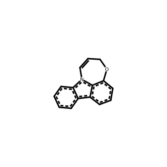 C1=Cn2c3ccccc3c3cccc(c32)OC1